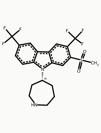 CS(=O)(=O)c1cc2c(cc1C(F)(F)F)c1cc(C(F)(F)F)ccc1n2[C@@H]1CCCNCC1